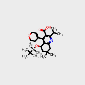 CC(C)c1nc2c(c(C3=CCOCC3)c1C(=O)O)C(O[Si](C)(C)C(C)(C)C)CC(C)(C)C2